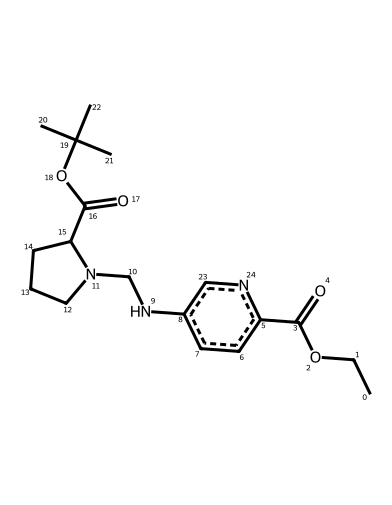 CCOC(=O)c1ccc(NCN2CCCC2C(=O)OC(C)(C)C)cn1